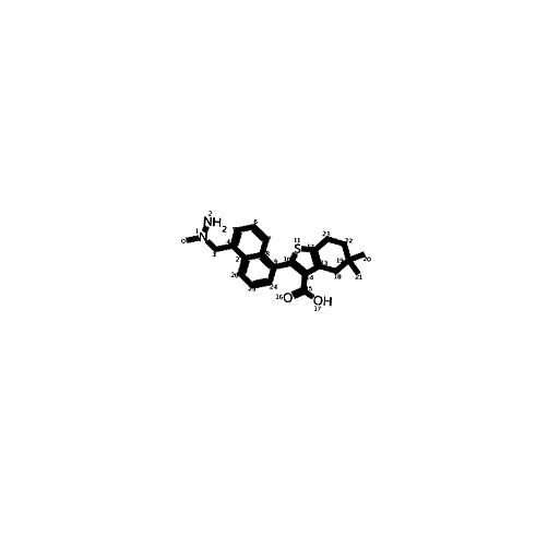 CN(N)Cc1cccc2c(-c3sc4c(c3C(=O)O)CC(C)(C)CC4)cccc12